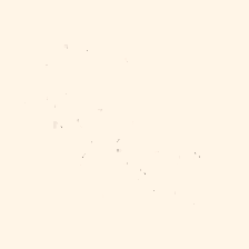 CCCCOC1=CC([C@@H](C)NC(=O)[C@H](O)[C@@H](O)C(=O)N2Cc3cccnc3C2)=CCC1